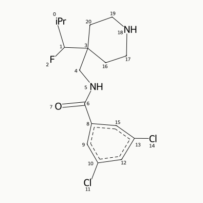 CC(C)C(F)C1(CNC(=O)c2cc(Cl)cc(Cl)c2)CCNCC1